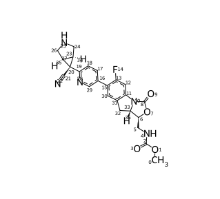 COC(=O)NC[C@@H]1OC(=O)N2c3cc(F)c(-c4ccc([C@@]5(C#N)[C@@H]6CNC[C@@H]65)nc4)cc3C[C@@H]12